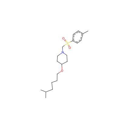 Cc1ccc(S(=O)(=O)CN2CCC(OCCCCC(C)C)CC2)cc1